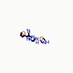 N#Cc1c(-c2ccco2)nn2ccc(NC[C@H]3CNCCO3)nc12